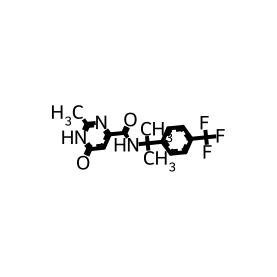 Cc1nc(C(=O)NC(C)(C)c2ccc(C(F)(F)F)cc2)cc(=O)[nH]1